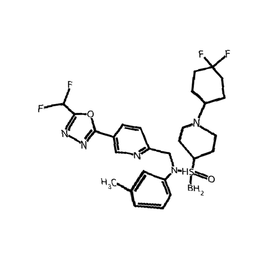 B[SH](=O)(C1CCN(C2CCC(F)(F)CC2)CC1)N(Cc1ccc(-c2nnc(C(F)F)o2)cn1)c1cccc(C)c1